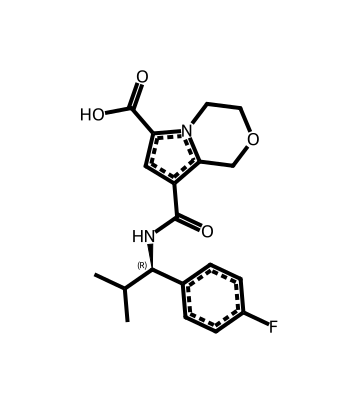 CC(C)[C@@H](NC(=O)c1cc(C(=O)O)n2c1COCC2)c1ccc(F)cc1